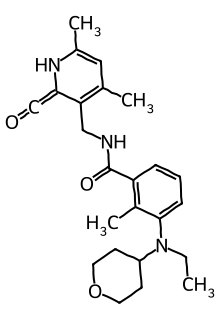 CCN(c1cccc(C(=O)NCC2=C(C)C=C(C)NC2=C=O)c1C)C1CCOCC1